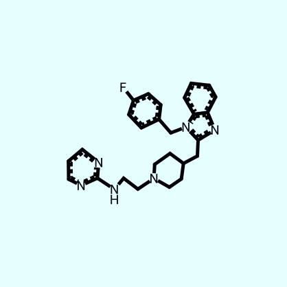 Fc1ccc(Cn2c(CC3CCN(CCNc4ncccn4)CC3)nc3ccccc32)cc1